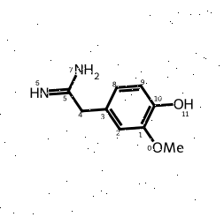 COc1cc(CC(=N)N)ccc1O